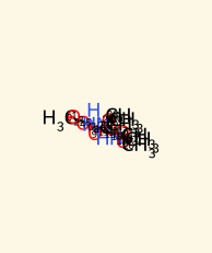 COCCOCCNC(=O)C(CCCCNC(=O)OC(C)(C)C)NC(=O)OC(C)(C)C